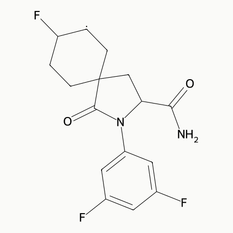 NC(=O)C1CC2(C[CH]C(F)CC2)C(=O)N1c1cc(F)cc(F)c1